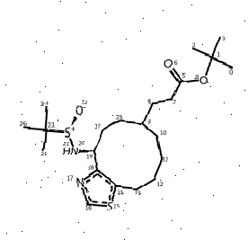 CC(C)(C)OC(=O)CCC1CCCCc2scnc2[C@@H](N[S@+]([O-])C(C)(C)C)CC1